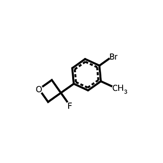 Cc1cc(C2(F)COC2)ccc1Br